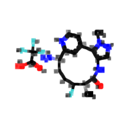 C[C@H]1C(=O)Nc2cnn(C)c2-c2ccnc(c2)[C@@H](N)CCC1F.O=C(O)C(F)(F)F